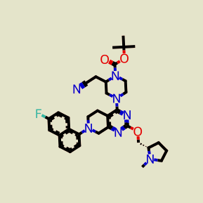 CN1CCC[C@H]1COc1nc2c(c(N3CCN(C(=O)OC(C)(C)C)C(CC#N)C3)n1)CCN(c1cccc3cc(F)ccc13)C2